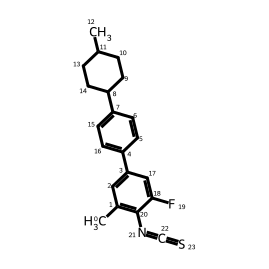 Cc1cc(-c2ccc(C3CCC(C)CC3)cc2)cc(F)c1N=C=S